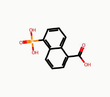 O=C(O)c1cccc2c(P(=O)(O)O)cccc12